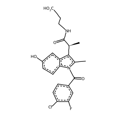 Cc1c([C@H](C)C(=O)NCCC(=O)O)c2cc(O)ccc2n1C(=O)c1ccc(Cl)c(F)c1